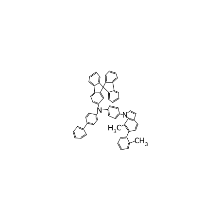 Cc1ccccc1-c1ccc2ccn(-c3ccc(N(c4ccc(-c5ccccc5)cc4)c4ccc5c(c4)C4(c6ccccc6-c6ccccc64)c4ccccc4-5)cc3)c2c1C